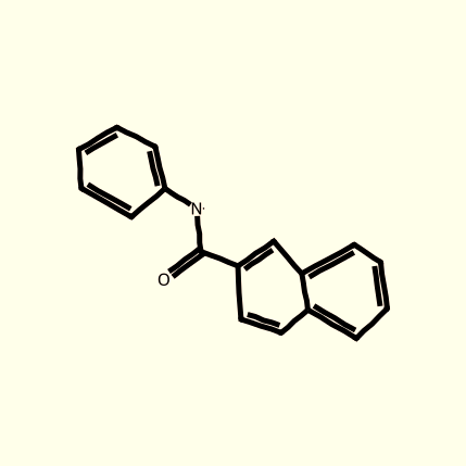 O=C([N]c1ccccc1)c1ccc2ccccc2c1